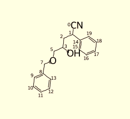 N#CC(CC(O)COCc1ccccc1)c1ccccc1